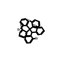 Brc1ccccc1C(c1ccccc1Br)C(c1ccccc1Br)(c1ccccc1Br)c1ccccc1Br